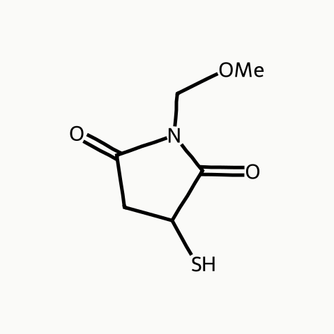 COCN1C(=O)CC(S)C1=O